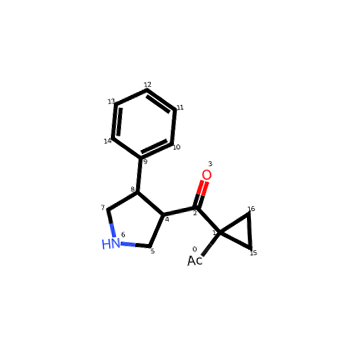 CC(=O)C1(C(=O)C2CNCC2c2ccccc2)CC1